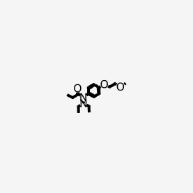 CCC(=O)N(c1ccc(OCCOC)cc1)N(CC)CC